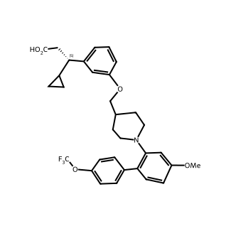 COc1ccc(-c2ccc(OC(F)(F)F)cc2)c(N2CCC(COc3cccc([C@@H](CC(=O)O)C4CC4)c3)CC2)c1